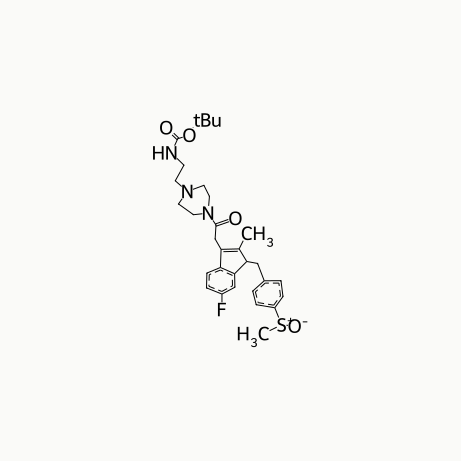 CC1=C(CC(=O)N2CCN(CCNC(=O)OC(C)(C)C)CC2)c2ccc(F)cc2C1Cc1ccc([S+](C)[O-])cc1